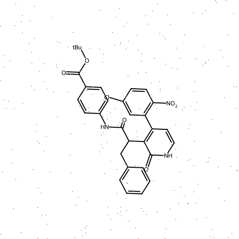 CC(C)(C)OC(=O)c1ccc(NC(=O)C(Cc2ccccc2)c2c(-c3cc(Cl)ccc3[N+](=O)[O-])cc[nH]c2=O)cc1